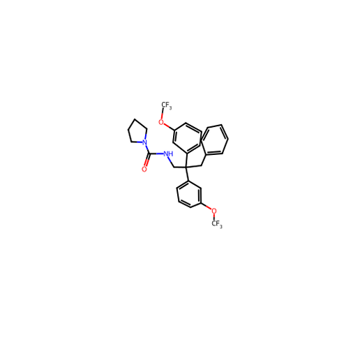 O=C(NCC(Cc1ccccc1)(c1cccc(OC(F)(F)F)c1)c1cccc(OC(F)(F)F)c1)N1CCCC1